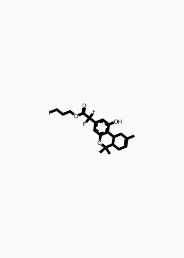 CC1=CCC2C(C1)c1c(O)cc(C(F)(F)C(=O)OCCCI)cc1OC2(C)C